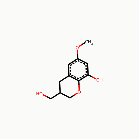 COc1cc(O)c2c(c1)CC(CO)CO2